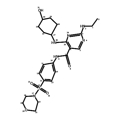 CCNc1ncc(C(=O)Nc2ccc(S(=O)(=O)N3CCOCC3)cc2)c(NC2CCC(O)CC2)n1